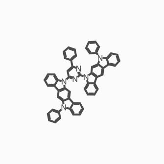 c1ccc(-c2cc(-n3c4ccccc4c4cc5c(cc43)c3ccccc3n5-c3ccccc3)nc(-n3c4ccccc4c4cc5c6ccccc6n(-c6ccccc6)c5cc43)n2)cc1